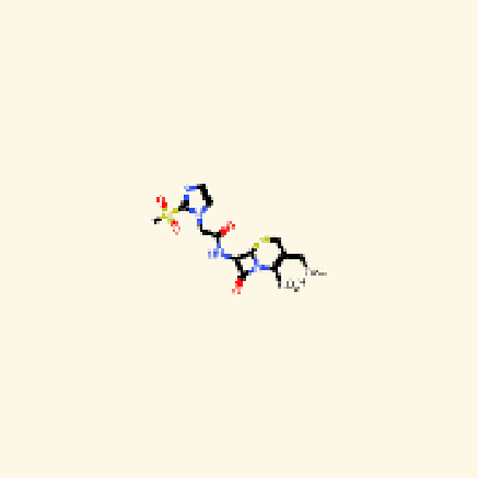 CC(=O)OCC1=C(C(=O)O)N2C(=O)C(NC(=O)Cn3ccnc3S(C)(=O)=O)C2SC1